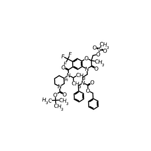 CC(C)N(C(=O)c1cc2c(cc1C(F)(F)F)OC(C)(COS(C)(=O)=O)C(=O)N2CCN(Cc1ccccc1)C(=O)OCc1ccccc1)[C@@H]1CCCN(C(=O)OC(C)(C)C)C1